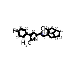 Cn1nc(/C=C/C2=C(Cl)CC3CCC(C2)C3N)cc1-c1ccc(F)cc1